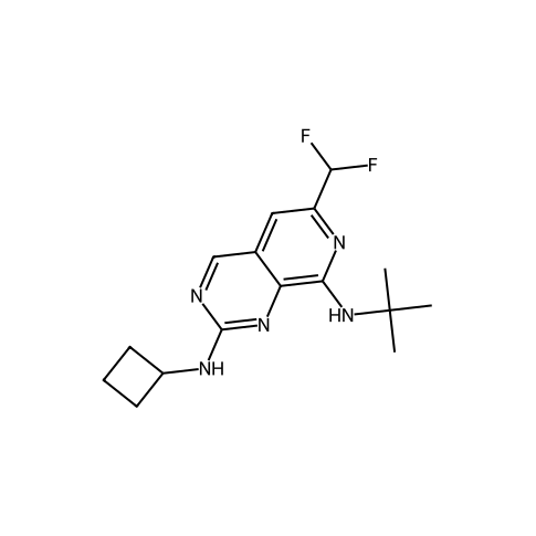 CC(C)(C)Nc1nc(C(F)F)cc2cnc(NC3CCC3)nc12